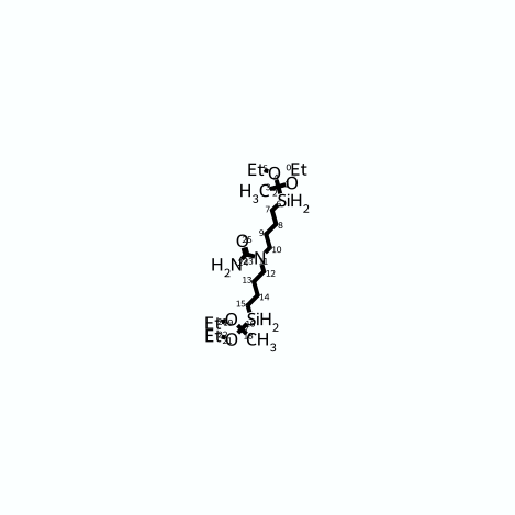 CCOC(C)(OCC)[SiH2]CCCCN(CCCC[SiH2]C(C)(OCC)OCC)C(N)=O